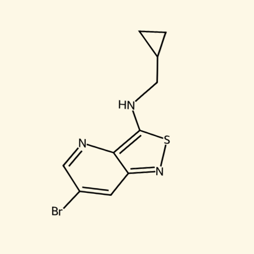 Brc1cnc2c(NCC3CC3)snc2c1